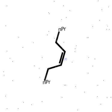 [CH2]CCC/C=C\CCCC